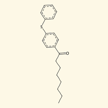 CCCCCCCC(=O)c1ccc(Sc2ccccc2)cc1